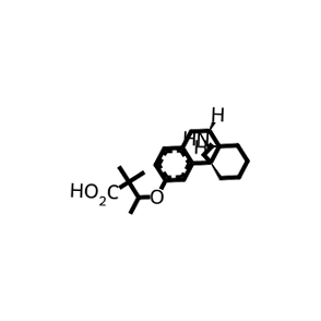 CC(Oc1ccc2c(c1)[C@@]13CCCC[C@H]1[C@@H](C2)NCC3)C(C)(C)C(=O)O